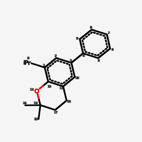 CC(C)c1cc(-c2ccccc2)cc2c1OC(C)(C)CC2